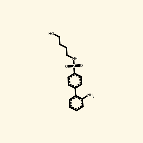 Nc1ccccc1-c1ccc(S(=O)(=O)NCCCCO)cc1